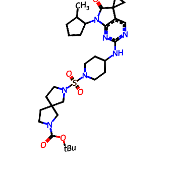 CC1CCCC1N1C(=O)C2(CC2)c2cnc(NC3CCN(S(=O)(=O)N4CCC5(CCN(C(=O)OC(C)(C)C)C5)C4)CC3)nc21